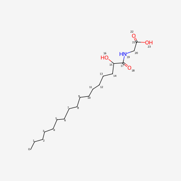 CCCCCCCCCCCCCCCC(O)C(=O)NCC(=O)O